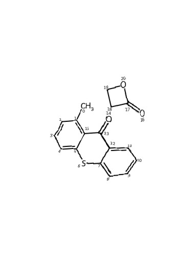 Cc1cccc2sc3ccccc3c(=O)c12.O=C1CCO1